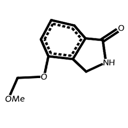 COCOc1cccc2c1CNC2=O